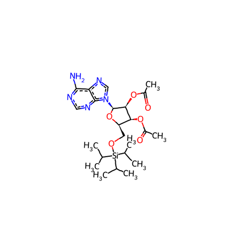 CC(=O)O[C@@H]1[C@H](OC(C)=O)[C@H](n2cnc3c(N)ncnc32)O[C@@H]1CO[Si](C(C)C)(C(C)C)C(C)C